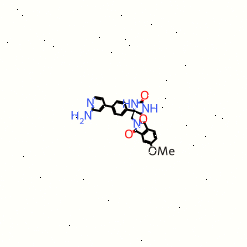 COc1ccc2c(c1)C(=O)N(C[C@@]1(c3ccc(-c4ccnc(N)c4)cc3)NC(=O)NC1=O)C2